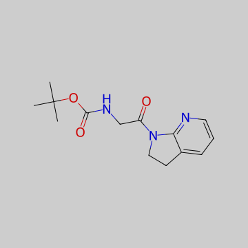 CC(C)(C)OC(=O)NCC(=O)N1CCc2cccnc21